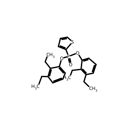 CCc1cccc(OP(=O)(Oc2cccc(CC)c2CC)c2cccs2)c1CC